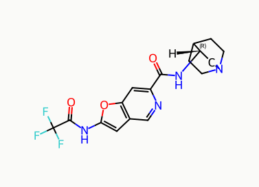 O=C(N[C@H]1CN2CCC1CC2)c1cc2oc(NC(=O)C(F)(F)F)cc2cn1